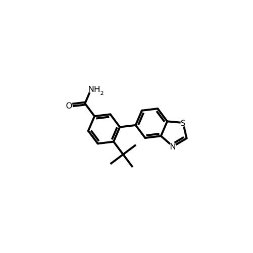 CC(C)(C)c1ccc(C(N)=O)cc1-c1ccc2scnc2c1